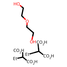 CCC(C(=O)O)C(=O)O.CCC(C(=O)O)C(=O)O.OCCOCCO